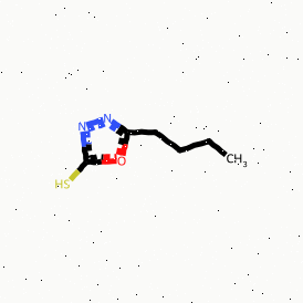 CCCCc1nnc(S)o1